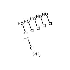 OCl.OCl.OCl.OCl.OCl.OCl.[SrH2]